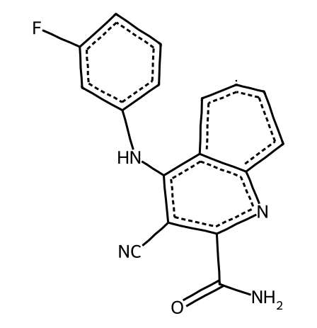 N#Cc1c(C(N)=O)nc2cc[c]cc2c1Nc1cccc(F)c1